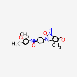 COc1cc(NC(=O)C2CCC(N3Cc4c(C)cc(C=O)cc4NC3=O)CC2)ccc1C